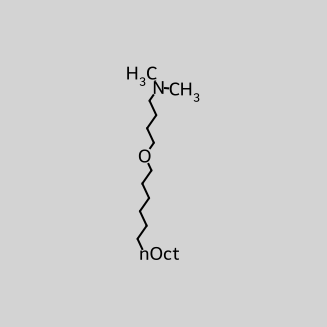 CCCCCCCCCCCCCCOCCCCN(C)C